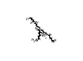 CC/C=C\CCC(=O)NCCCCN(CCCNC(=O)CC/C=C\CC)C(=O)[C@@H](N)CCCCN